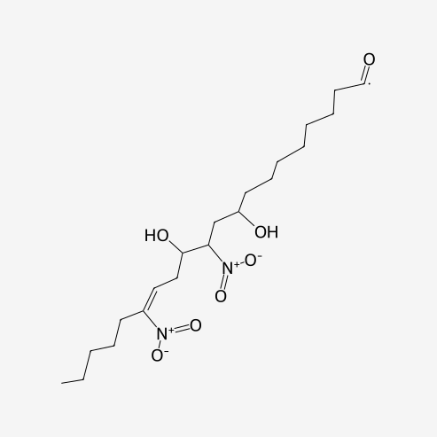 CCCCC/C(=C/CC(O)C(CC(O)CCCCCCC[C]=O)[N+](=O)[O-])[N+](=O)[O-]